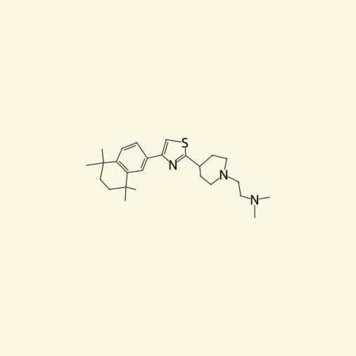 CN(C)CCN1CCC(c2nc(-c3ccc4c(c3)C(C)(C)CCC4(C)C)cs2)CC1